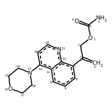 C=C(COC(N)=O)c1cccc2c(N3CCOCC3)ccnc12